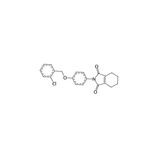 O=C1C2=C(CCCC2)C(=O)N1c1ccc(OCc2ccccc2Cl)cc1